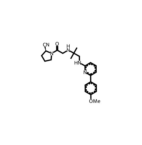 COc1ccc(-c2cccc(NCC(C)(C)NCC(=O)N3CCC[C@H]3C#N)n2)cc1